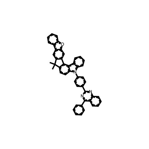 CC1(C)c2cc3c(cc2-c2c1ccc1c2c2ccccc2n1-c1ccc(-c2nc(-c4ccccc4)c4ccccc4n2)cc1)oc1ccccc13